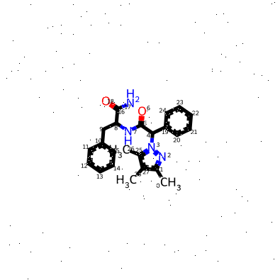 Cc1nn(C(C(=O)NC(Cc2ccccc2)C(N)=O)c2ccccc2)c(C)c1C